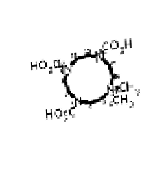 C[N+]1(C)CCN(C(=O)O)CCN(C(=O)O)CCN(C(=O)O)CC1